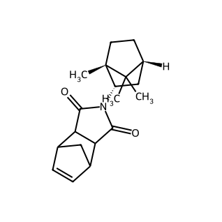 CC1(C)[C@@H]2CC[C@@]1(C)[C@@H](N1C(=O)C3C4C=CC(C4)C3C1=O)C2